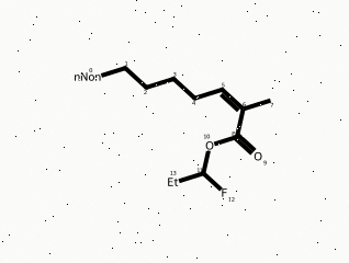 CCCCCCCCCCCCCC=C(C)C(=O)OC(F)CC